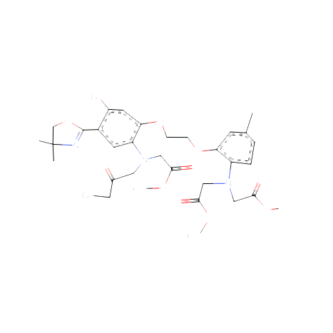 Cc1ccc(N(CC(=O)OC(C)(C)C)CC(=O)OC(C)(C)C)c(OCCOc2cc(Br)c(C3=NC(C)(C)CO3)cc2N(CC(=O)CC(C)(C)C)CC(=O)OC(C)(C)C)c1